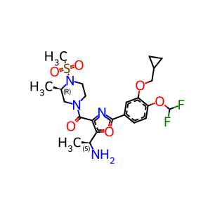 C[C@H](N)c1oc(-c2ccc(OC(F)F)c(OCC3CC3)c2)nc1C(=O)N1CCN(S(C)(=O)=O)[C@H](C)C1